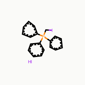 I.IC[P](c1ccccc1)(c1ccccc1)c1ccccc1